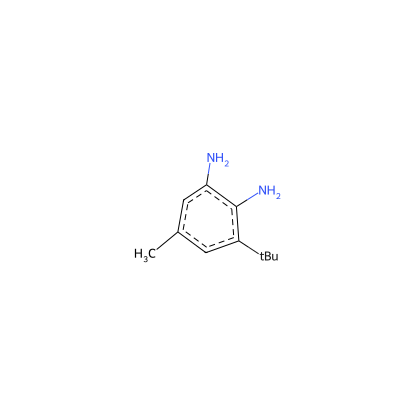 Cc1cc(N)c(N)c(C(C)(C)C)c1